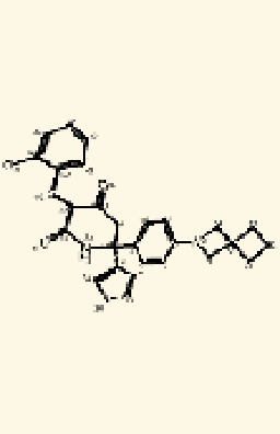 O=C1CC(c2ccc(N3CC4(CCC4)C3)cc2)(c2ccsc2)NC(=O)C1Sc1ccccc1Cl